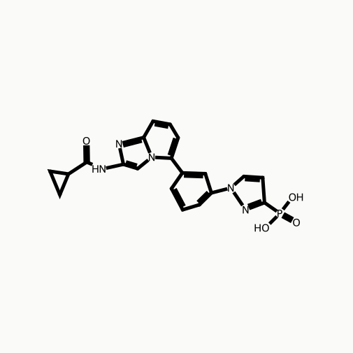 O=C(Nc1cn2c(-c3cccc(-n4ccc(P(=O)(O)O)n4)c3)cccc2n1)C1CC1